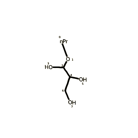 CCCOC(O)C(O)CO